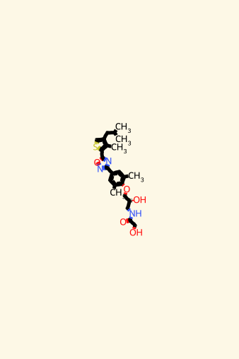 Cc1cc(-c2noc(-c3scc(CC(C)C)c3C)n2)cc(C)c1OC[C@H](O)CNC(=O)CO